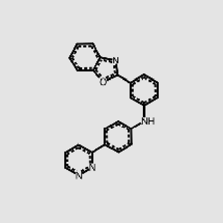 c1cc(Nc2ccc(-c3cccnn3)cc2)cc(-c2nc3ccccc3o2)c1